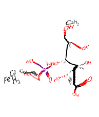 O=C(O)[C@H](O)[C@@H](O)[C@H](O)[C@H](O)CO.O=P(O)(O)O.[CaH2].[CaH2].[CaH2].[Fe]